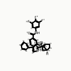 O=C(Nc1cc(F)c(F)c(F)c1)c1ccc(Cl)c(S(=O)(=O)[C@H]2C3CC[C@H]2C[C@]3(O)c2ncc(-c3ccccc3)[nH]2)c1